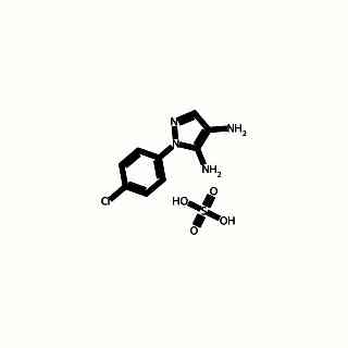 Nc1cnn(-c2ccc(Cl)cc2)c1N.O=S(=O)(O)O